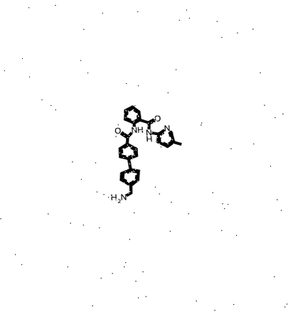 Cc1ccc(NC(=O)c2ccccc2NC(=O)c2ccc(-c3ccc(CN)cc3)cc2)nc1